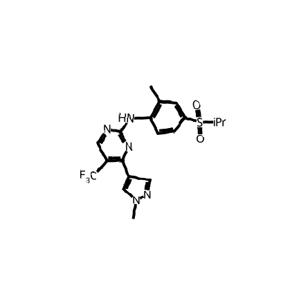 Cc1cc(S(=O)(=O)C(C)C)ccc1Nc1ncc(C(F)(F)F)c(-c2cnn(C)c2)n1